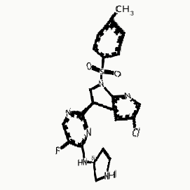 Cc1ccc(S(=O)(=O)N2CC(c3ncc(F)c(N[C@H]4CCNC4)n3)c3cc(Cl)cnc32)cc1